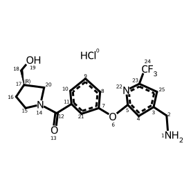 Cl.NCc1cc(Oc2cccc(C(=O)N3CC[C@@H](CO)C3)c2)nc(C(F)(F)F)c1